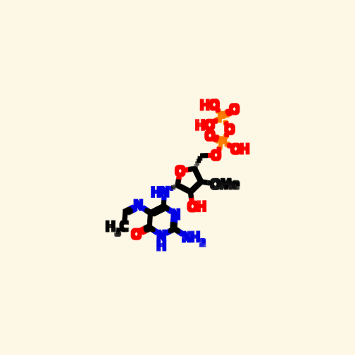 C/C=N\c1c(N[C@@H]2O[C@H](COP(=O)(O)OP(=O)(O)O)C(OC)C2O)nc(N)[nH]c1=O